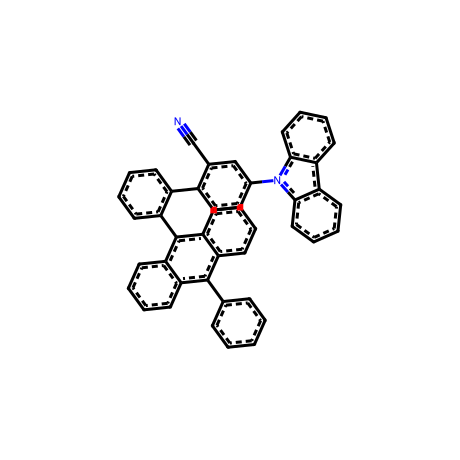 N#Cc1cc(-n2c3ccccc3c3ccccc32)ccc1-c1ccccc1-c1c2ccccc2c(-c2ccccc2)c2ccccc12